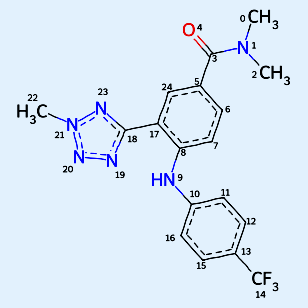 CN(C)C(=O)c1ccc(Nc2ccc(C(F)(F)F)cc2)c(-c2nnn(C)n2)c1